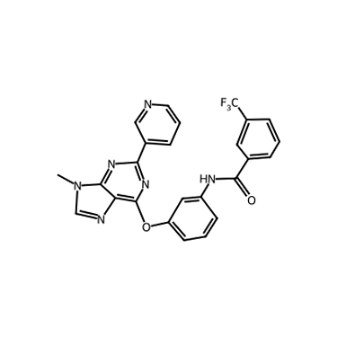 Cn1cnc2c(Oc3cccc(NC(=O)c4cccc(C(F)(F)F)c4)c3)nc(-c3cccnc3)nc21